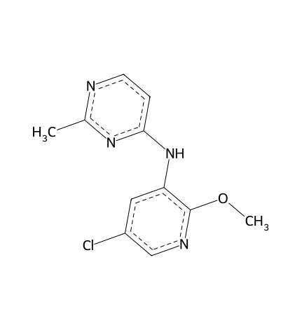 COc1ncc(Cl)cc1Nc1ccnc(C)n1